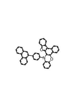 c1ccc2c(c1)Oc1c(c3oc4ccccc4c3c3ccccc13)N2c1ccc(-c2cc3ccccc3c3ccccc23)cc1